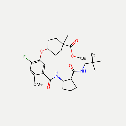 CCC(C)(C)CNC(=O)[C@H]1CCC[C@H]1NC(=O)c1cc(OC2CCC(C)(C(=O)OC(C)(C)C)CC2)c(F)cc1OC